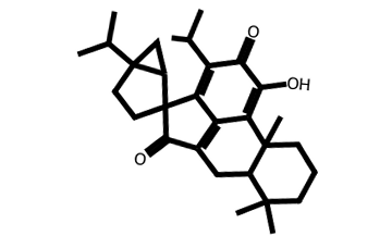 CC(C)C1=C2C3=C(CC4C(C)(C)CCCC4(C)C3=C(O)C1=O)C(=O)C21CCC2(C(C)C)CC12